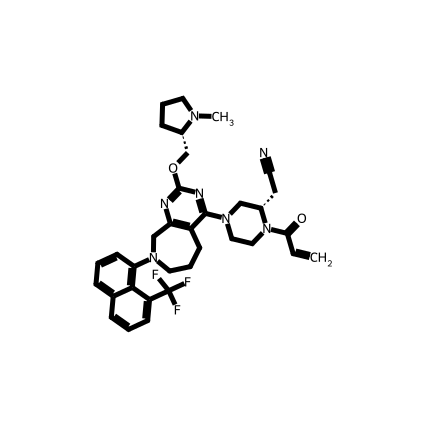 C=CC(=O)N1CCN(c2nc(OC[C@@H]3CCCN3C)nc3c2CCCN(c2cccc4cccc(C(F)(F)F)c24)C3)C[C@@H]1CC#N